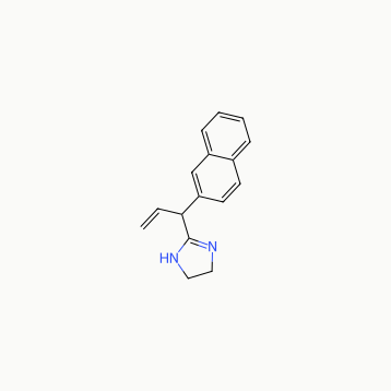 C=CC(C1=NCCN1)c1ccc2ccccc2c1